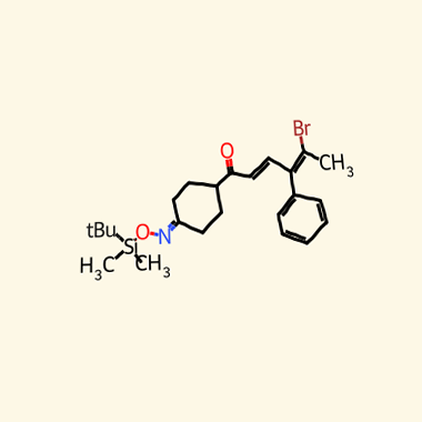 CC(Br)=C(C=CC(=O)C1CCC(=NO[Si](C)(C)C(C)(C)C)CC1)c1ccccc1